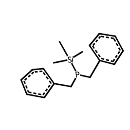 C[Si](C)(C)P(Cc1ccccc1)Cc1ccccc1